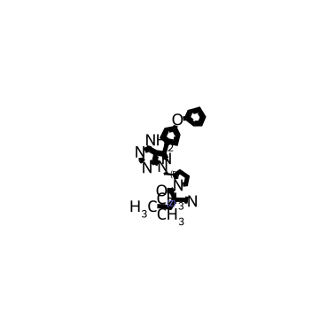 CC(C)(C)/C=C(/C#N)C(=O)N1CCC[C@@H]1Cn1nc(-c2ccc(Oc3ccccc3)cc2)c2c(N)ncnc21